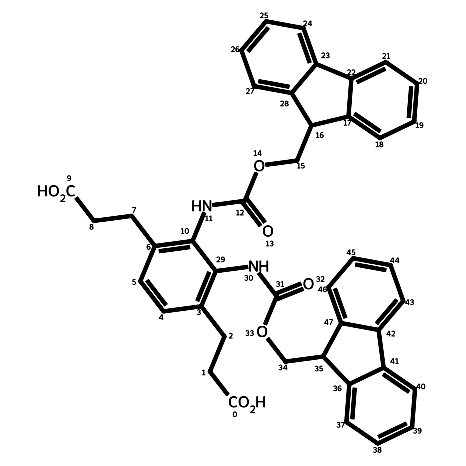 O=C(O)CCc1ccc(CCC(=O)O)c(NC(=O)OCC2c3ccccc3-c3ccccc32)c1NC(=O)OCC1c2ccccc2-c2ccccc21